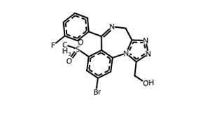 CS(=O)(=O)c1cc(Br)cc2c1C(c1cccc(F)c1)=NCc1nnc(CO)n1-2